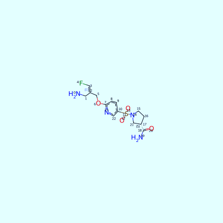 NC/C(=C\F)COc1ccc(S(=O)(=O)N2CC[C@H](C(N)=O)C2)cn1